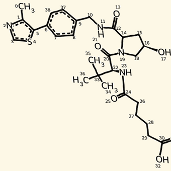 Cc1ncsc1-c1ccc(CNC(=O)C2C[C@@H](O)CN2C(=O)[C@@H](NC(=O)CCCCC(=O)O)C(C)(C)C)cc1